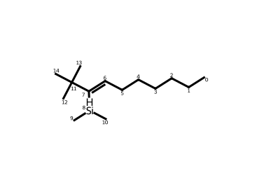 CCCCCCC=C([SiH](C)C)C(C)(C)C